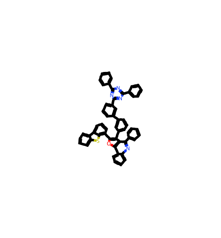 c1ccc(-c2nc(-c3ccccc3)nc(-c3cccc(-c4cccc(-c5c(-c6cccc7c6sc6ccccc67)oc6c5c(-c5ccccc5)nc5ccccc56)c4)c3)n2)cc1